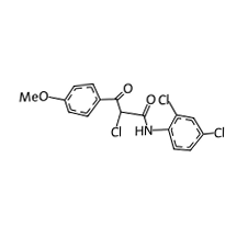 COc1ccc(C(=O)C(Cl)C(=O)Nc2ccc(Cl)cc2Cl)cc1